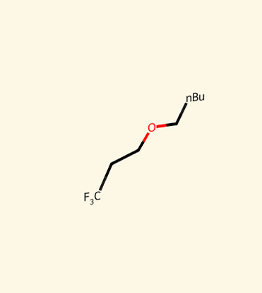 [CH2]CCCCOCCC(F)(F)F